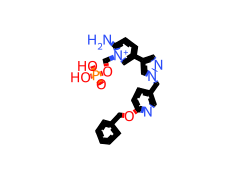 Nc1ccc(-c2cnn(Cc3ccc(OCc4ccccc4)nc3)c2)c[n+]1COP(=O)(O)O